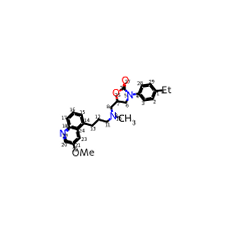 CCc1ccc(N2CC(CN(C)CCCc3cccc4ncc(OC)cc34)OC2=O)cc1